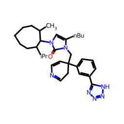 CCCCc1cn(C2C(C)CCCCCC2C(C)C)c(=O)n1CC1(c2cccc(-c3nnn[nH]3)c2)C=CN=CC1